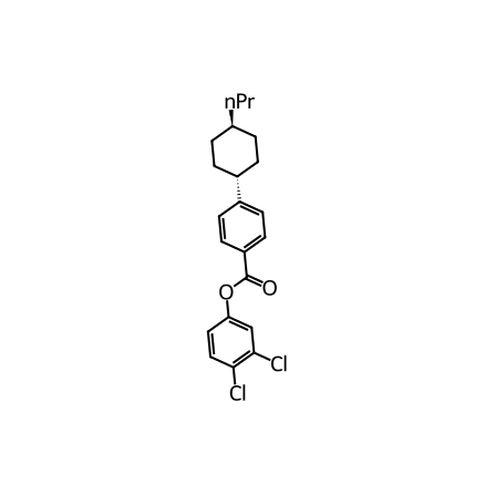 CCC[C@H]1CC[C@H](c2ccc(C(=O)Oc3ccc(Cl)c(Cl)c3)cc2)CC1